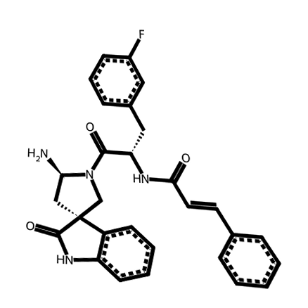 N[C@@H]1C[C@@]2(CN1C(=O)[C@H](Cc1cccc(F)c1)NC(=O)/C=C/c1ccccc1)C(=O)Nc1ccccc12